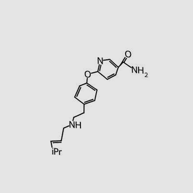 CC(C)/C=C/CNCCc1ccc(Oc2ccc(C(N)=O)cn2)cc1